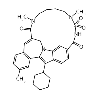 Cc1ccc2c(c1)-c1c(C3CCCCC3)c3ccc4cc3n1CC(=C2)C(=O)N(C)CCCCN(C)S(=O)(=O)NC4=O